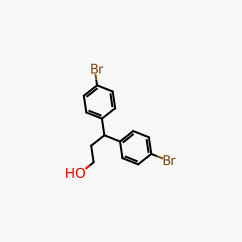 OCCC(c1ccc(Br)cc1)c1ccc(Br)cc1